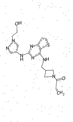 C=CC(=O)N1CC(CNc2nc(Nc3cnn(CCO)c3)nc3ccsc23)C1